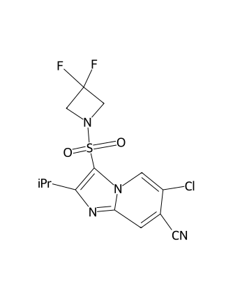 CC(C)c1nc2cc(C#N)c(Cl)cn2c1S(=O)(=O)N1CC(F)(F)C1